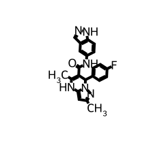 CC1=C(C(=O)Nc2ccc3[nH]ncc3c2)C(c2ccc(F)cc2)n2nc(C)cc2N1